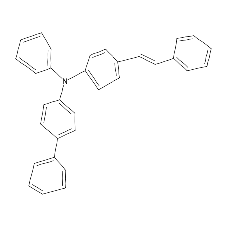 C(=Cc1ccc(N(c2ccccc2)c2ccc(-c3ccccc3)cc2)cc1)c1ccccc1